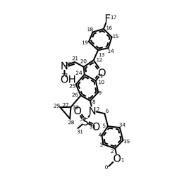 COc1ccc(CN(c2cc3oc(-c4ccc(F)cc4)c(/C=N\O)c3cc2C2CC2)S(C)(=O)=O)cc1